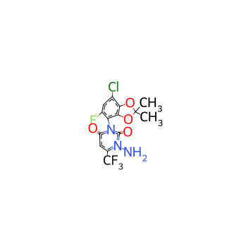 CC1(C)Oc2c(Cl)cc(F)c(-n3c(=O)cc(C(F)(F)F)n(N)c3=O)c2O1